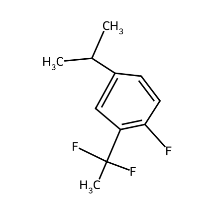 CC(C)c1ccc(F)c(C(C)(F)F)c1